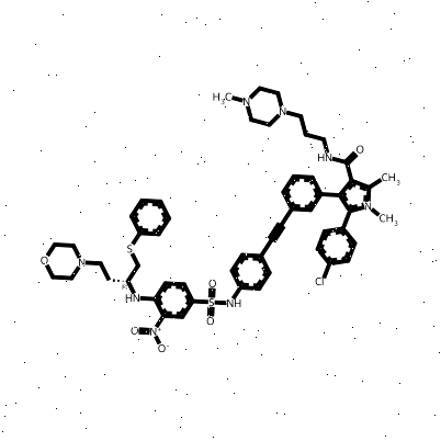 Cc1c(C(=O)NCCCN2CCN(C)CC2)c(-c2cccc(C#Cc3ccc(NS(=O)(=O)c4ccc(N[C@H](CCN5CCOCC5)CSc5ccccc5)c([N+](=O)[O-])c4)cc3)c2)c(-c2ccc(Cl)cc2)n1C